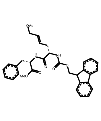 COC(=O)[C@H](Cc1ccccc1)NC(=O)[C@H](C/C=C/COC(C)=O)NC(=O)OCC1c2ccccc2-c2ccccc21